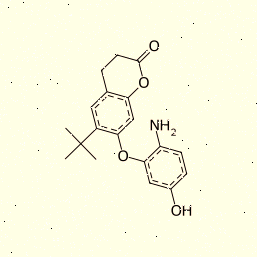 CC(C)(C)c1cc2c(cc1Oc1cc(O)ccc1N)OC(=O)CC2